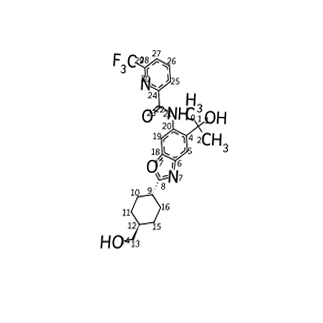 CC(C)(O)c1cc2nc([C@H]3CC[C@H](CO)CC3)oc2cc1NC(=O)c1cccc(C(F)(F)F)n1